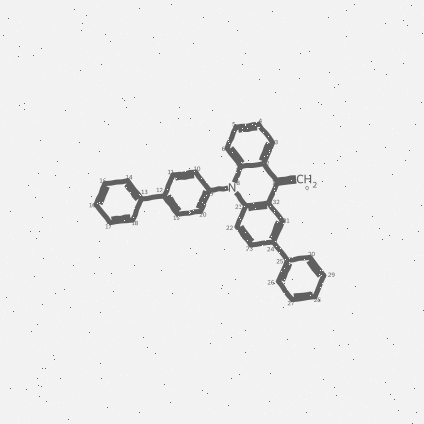 C=C1c2ccccc2N(c2ccc(-c3ccccc3)cc2)c2ccc(-c3ccccc3)cc21